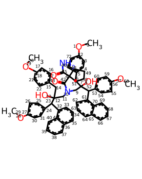 COc1ccc(CC(O)(CN(CC(O)(Cc2ccc(OC)cc2)C(c2ccc(OC)cc2)c2cccc3ccccc23)C(=O)C2(C(N)=O)CCCC2)C(c2ccc(OC)cc2)c2cccc3ccccc23)cc1